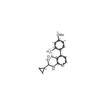 CCC(Nc1nccc(-c2ccc(OC)cc2C)c1[N+](=O)[O-])C1CC1